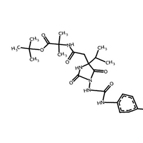 CC(C)C1(CC(=O)NC(C)(C)C(=O)OC(C)(C)C)NC(=O)N(NC(=O)Nc2ccc(Br)cc2)C1=O